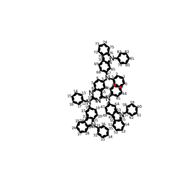 c1ccc(N(c2ccc3nc(N(c4ccccc4)c4ccc5c(c4)c4ccccc4n5-c4ccccc4)nc(N(c4ccccc4)c4ccc5c6ccccc6n(-c6ccccc6)c5c4)c3c2)c2ccc3c4ccccc4n(-c4ccccc4)c3c2)cc1